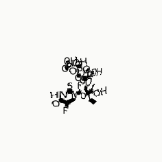 C#C[C@](COP(=O)(O)OP(=O)(O)OP(=O)(O)O)(O[C@H](F)n1cc(F)c(=O)[nH]c1=S)[C@@H](C)O